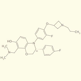 CCCN1CC(Oc2ccc(N3c4ccc(O)c(CN(C)C)c4OC[C@H]3c3ccc(F)cc3)cc2F)C1